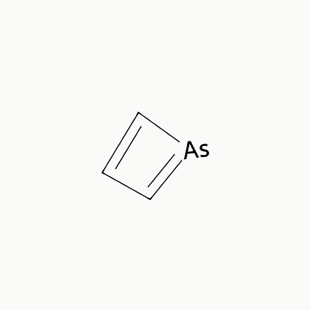 C1=C[As]=C1